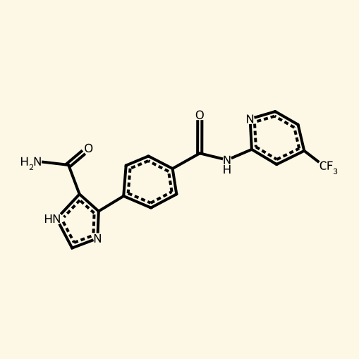 NC(=O)c1[nH]cnc1-c1ccc(C(=O)Nc2cc(C(F)(F)F)ccn2)cc1